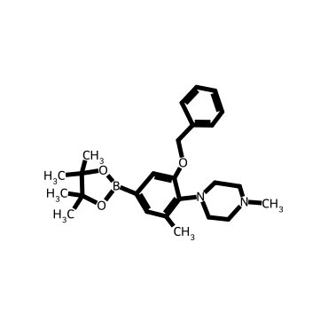 Cc1cc(B2OC(C)(C)C(C)(C)O2)cc(OCc2ccccc2)c1N1CCN(C)CC1